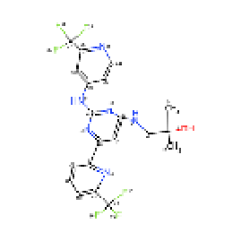 CC(C)(O)CNc1cc(-c2cccc(C(F)(F)F)n2)nc(Nc2ccnc(C(F)(F)F)c2)n1